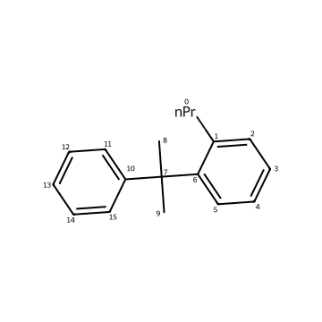 CCCc1ccccc1C(C)(C)c1ccccc1